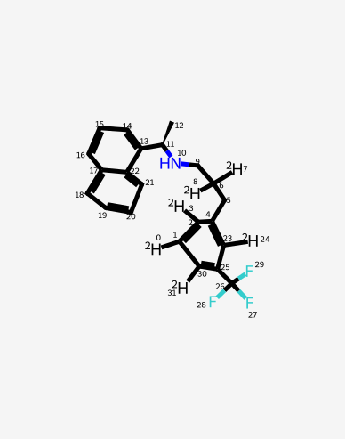 [2H]c1c([2H])c(CC([2H])([2H])CN[C@H](C)c2cccc3ccccc23)c([2H])c(C(F)(F)F)c1[2H]